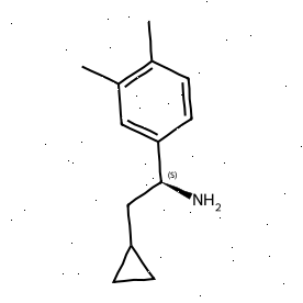 Cc1ccc([C@@H](N)CC2CC2)cc1C